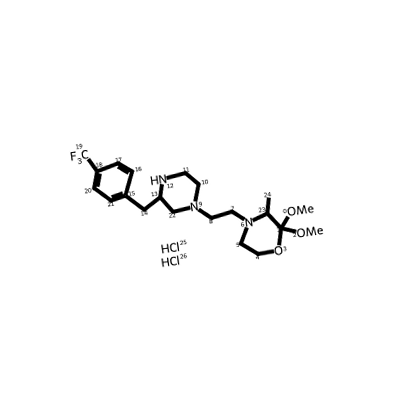 COC1(OC)OCCN(CCN2CCNC(Cc3ccc(C(F)(F)F)cc3)C2)C1C.Cl.Cl